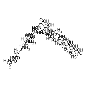 CC(C)C[C@H](N)C(=O)O.C[C@H](N)C(=O)O.NCC(=O)O.NCC(=O)O.NCC(=O)O.NCCCC[C@H](N)C(=O)O.N[C@@H](CO)C(=O)O.N[C@@H](CO)C(=O)O.N[C@@H](CS)C(=O)O.N[C@@H](CS)C(=O)O.N[C@@H](Cc1c[nH]cn1)C(=O)O.N[C@@H](Cc1c[nH]cn1)C(=O)O.O=C(O)[C@@H]1CCCN1.O=C(O)[C@@H]1CCCN1